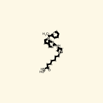 CC(c1ccccc1)n1ccc2cnc(Nc3cnn(CCCCCCC(=O)NO)c3)nc21